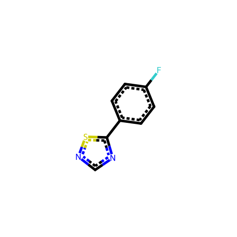 Fc1ccc(-c2ncns2)cc1